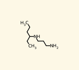 CCCC(CC)NCCCN